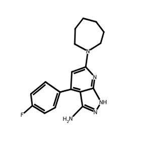 Nc1n[nH]c2nc(N3CCCCCC3)cc(-c3ccc(F)cc3)c12